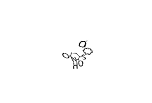 COc1cccc(SC2CCC(=O)NC2=O)c1